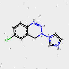 Clc1ccc2c(c1)CN(n1ccnc1)N=N2